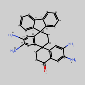 Nc1cc2c(cc1N)C1(CCC2=O)CCC2(c3ccccc3-c3ccccc32)c2cc(N)c(N)cc21